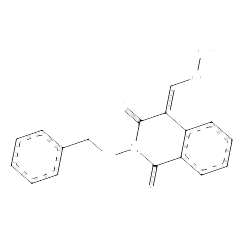 CO/C=C1/C(=O)N(OCc2ccccc2)C(=O)c2ccccc21